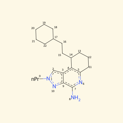 CCCn1cc2c3c(nc(N)c2n1)CCCC3CCC1CCCCC1